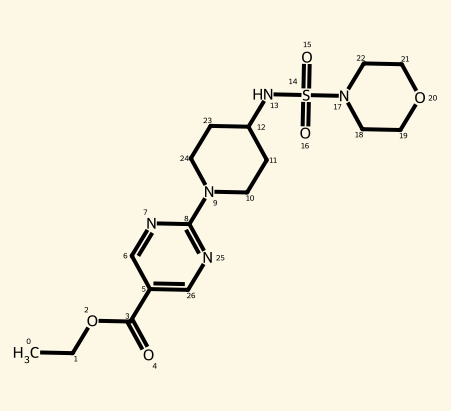 CCOC(=O)c1cnc(N2CCC(NS(=O)(=O)N3CCOCC3)CC2)nc1